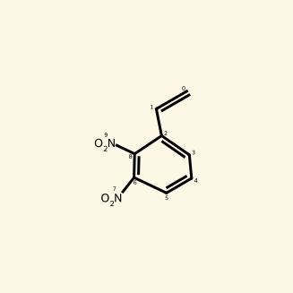 C=Cc1cccc([N+](=O)[O-])c1[N+](=O)[O-]